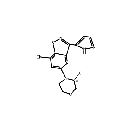 C[C@@H]1COCCN1c1cc(Cl)c2snc(-c3ccn[nH]3)c2n1